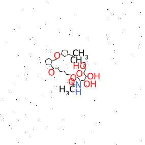 CC(=O)NC1C(OCCCCCC(=O)C2CCC[C@H]2COC2CCC(C(C)C)C2)OC(CO)C(O)C1O